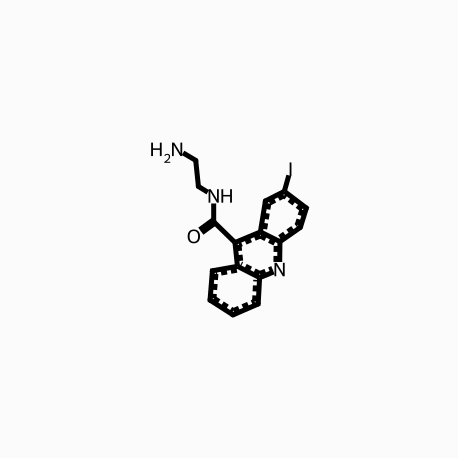 NCCNC(=O)c1c2ccccc2nc2ccc(I)cc12